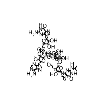 COCC[C@H]1[C@@H](O)[C@H](n2c[n+](C)c3c(=O)[nH]c(NC(C)C)nc32)O[C@@H]1COP(=O)(O)OP(=O)(O)OP(=O)(O)OC[C@H]1O[C@@H](n2cnc3c(N)ncnc32)[C@H](OC)[C@@H]1OP(=O)(O)OC[C@H]1O[C@@H](n2cnc3c(=O)[nH]c(N)nc32)[C@H](O)[C@@H]1O